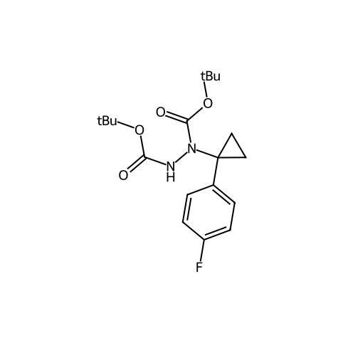 CC(C)(C)OC(=O)NN(C(=O)OC(C)(C)C)C1(c2ccc(F)cc2)CC1